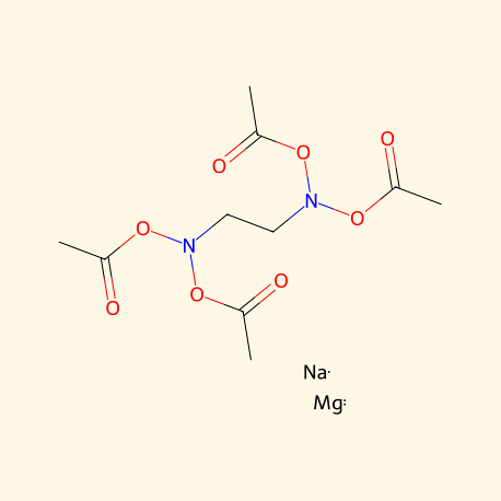 CC(=O)ON(CCN(OC(C)=O)OC(C)=O)OC(C)=O.[Mg].[Na]